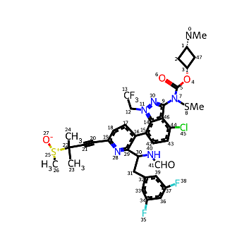 CN[C@H]1C[C@@H](OC(=O)N(SC)c2nn(CC(F)(F)F)c3c(-c4ccc(C#CC(C)(C)[S+](C)[O-])nc4C(Cc4cc(F)cc(F)c4)NC=O)ccc(Cl)c23)C1